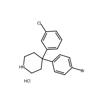 Cl.Clc1cccc(C2(c3ccc(Br)cc3)CCNCC2)c1